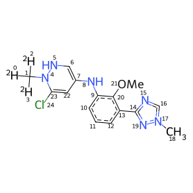 [2H]C([2H])([2H])N1NC=C(Nc2cccc(-c3ncn(C)n3)c2OC)C=C1Cl